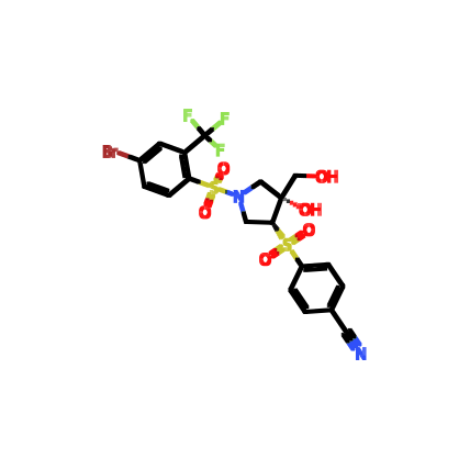 N#Cc1ccc(S(=O)(=O)[C@H]2CN(S(=O)(=O)c3ccc(Br)cc3C(F)(F)F)C[C@@]2(O)CO)cc1